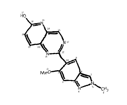 COc1cc2nn(C)cc2cc1-c1ncc2nc(O)ccc2n1